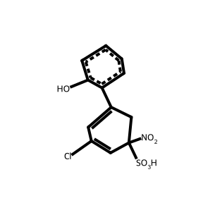 O=[N+]([O-])C1(S(=O)(=O)O)C=C(Cl)C=C(c2ccccc2O)C1